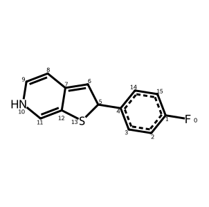 Fc1ccc(C2C=C3C=CNC=C3S2)cc1